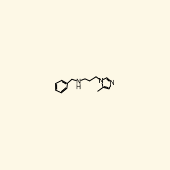 Cc1cncn1CCCNCc1ccccc1